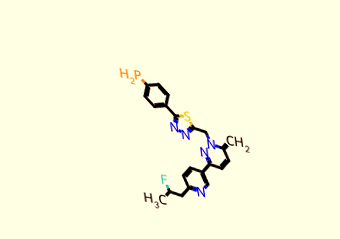 C=C1C=CC(c2ccc(CC(C)F)nc2)=NN1Cc1nnc(-c2ccc(P)cc2)s1